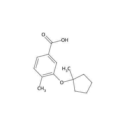 Cc1ccc(C(=O)O)cc1OC1(C)CCCC1